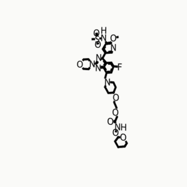 COc1ncc(-c2nc(N3CCOCC3)nc3c(CN4CCC(OCCOCC(=O)NOC5CCCCO5)CC4)cc(F)cc23)cc1NS(C)(=O)=O